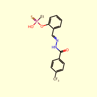 CCP(O)(=S)Oc1ccccc1C=NNC(=O)c1ccc(C(F)(F)F)cc1